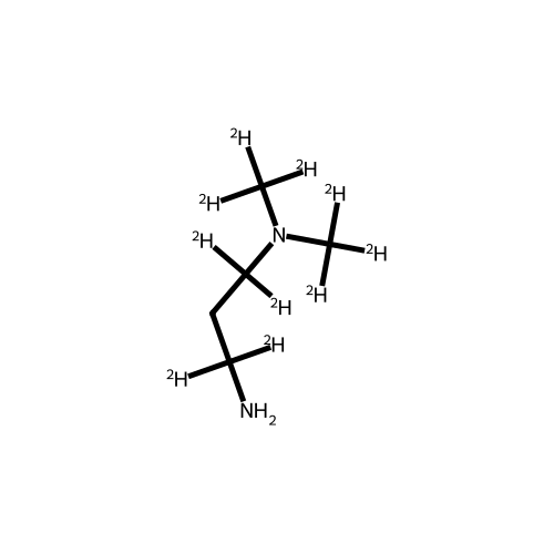 [2H]C([2H])(N)CC([2H])([2H])N(C([2H])([2H])[2H])C([2H])([2H])[2H]